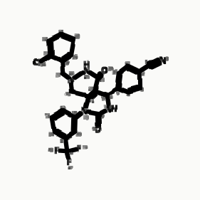 N#Cc1ccc([C@H]2NC(=O)N(c3cccc(C(F)(F)F)c3)C3=C2C(=O)NN(Cc2ccccc2Cl)C3)cc1